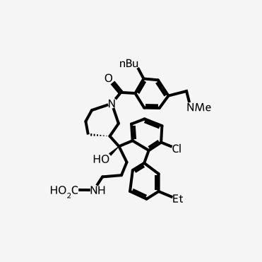 CCCCc1cc(CNC)ccc1C(=O)N1CCC[C@@H]([C@@](O)(CCCNC(=O)O)c2cccc(Cl)c2-c2cccc(CC)c2)C1